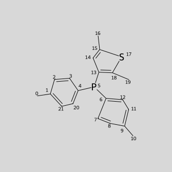 Cc1ccc(P(c2ccc(C)cc2)c2cc(C)sc2C)cc1